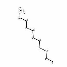 CCCCCCCCCCP